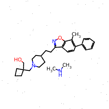 CNC.Cc1c(-c2ccccc2)ccc2c(CCC3CCN(CC4(CO)CCC4)CC3)noc12